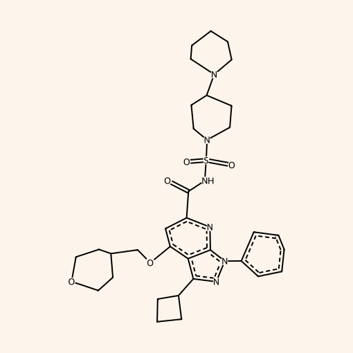 O=C(NS(=O)(=O)N1CCC(N2CCCCC2)CC1)c1cc(OCC2CCOCC2)c2c(C3CCC3)nn(-c3ccccc3)c2n1